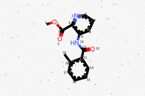 COC(=O)c1ncccc1NC(=O)c1ccccc1C